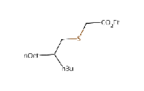 CCCCCCCCC(CCCC)CSCC(=O)OCC